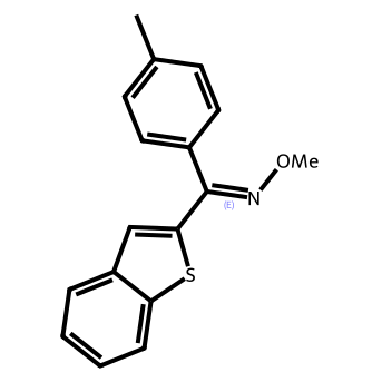 CO/N=C(\c1ccc(C)cc1)c1cc2ccccc2s1